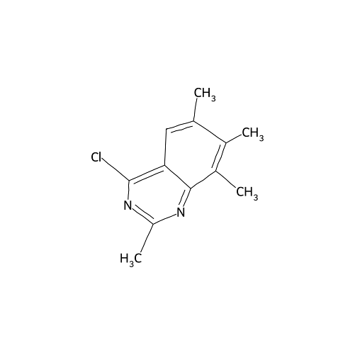 Cc1nc(Cl)c2cc(C)c(C)c(C)c2n1